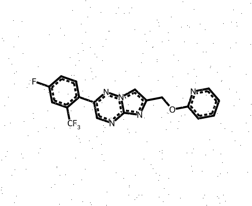 Fc1ccc(-c2cnc3nc(COc4ccccn4)cn3n2)c(C(F)(F)F)c1